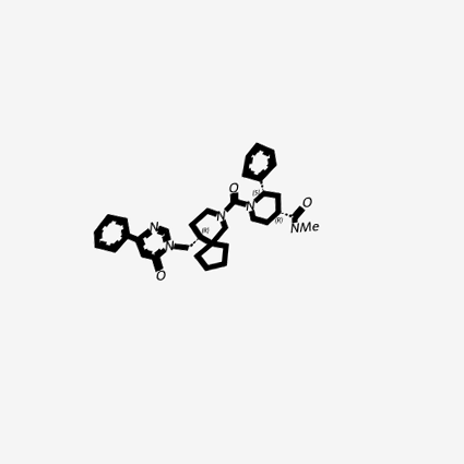 CNC(=O)[C@@H]1CCN(C(=O)N2CC[C@@H](Cn3cnc(-c4ccccc4)cc3=O)C3(CCCC3)C2)[C@H](c2ccccc2)C1